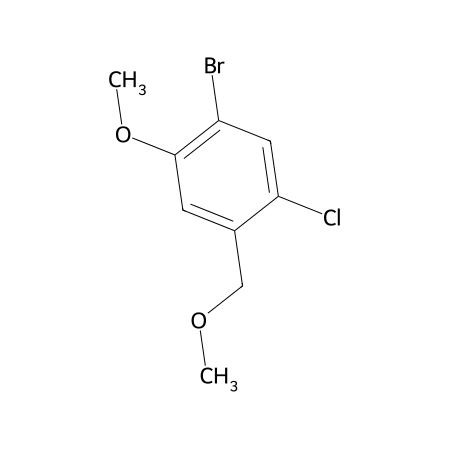 COCc1cc(OC)c(Br)cc1Cl